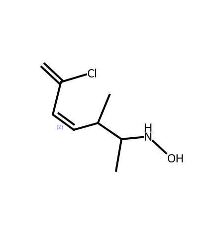 C=C(Cl)/C=C\C(C)C(C)NO